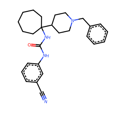 N#Cc1cccc(NC(=O)NC2(C3CCN(Cc4ccccc4)CC3)CCCCCC2)c1